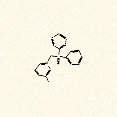 Cc1cccc(CP(=O)(c2ccccc2)c2ccccc2)c1